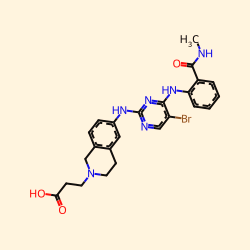 CNC(=O)c1ccccc1Nc1nc(Nc2ccc3c(c2)CCN(CCC(=O)O)C3)ncc1Br